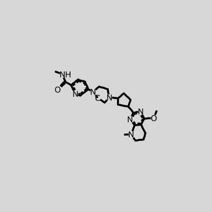 CNC(=O)c1ccc(N2CCN(C3CCC(c4nc(OC)c5c(n4)N(C)CCC5)C3)CC2)cn1